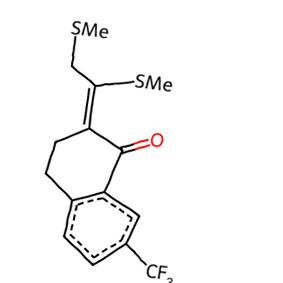 CSCC(SC)=C1CCc2ccc(C(F)(F)F)cc2C1=O